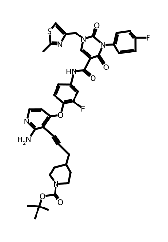 Cc1nc(Cn2cc(C(=O)Nc3ccc(Oc4ccnc(N)c4C#CCC4CCN(C(=O)OC(C)(C)C)CC4)c(F)c3)c(=O)n(-c3ccc(F)cc3)c2=O)cs1